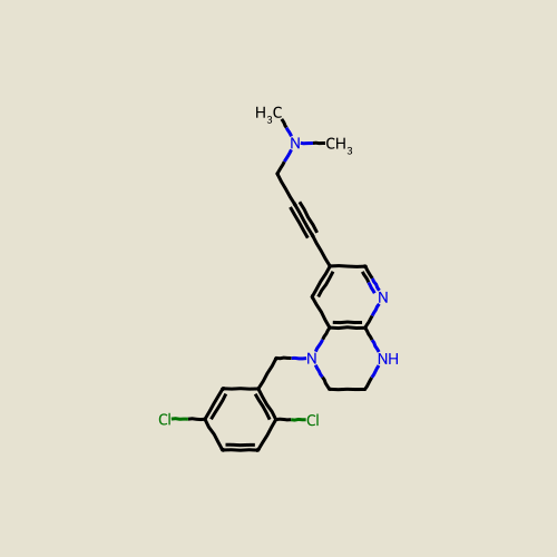 CN(C)CC#Cc1cnc2c(c1)N(Cc1cc(Cl)ccc1Cl)CCN2